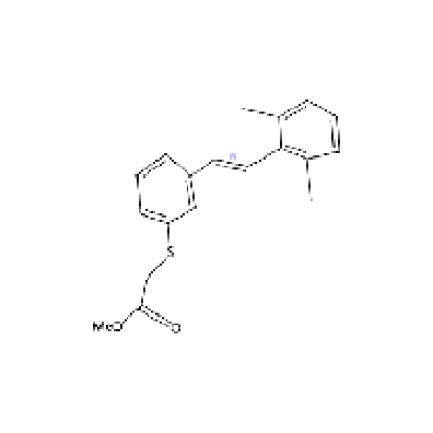 COC(=O)CSc1cccc(/C=C/c2c(C)cccc2C)c1